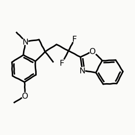 COc1ccc2c(c1)C(C)(CC(F)(F)c1nc3ccccc3o1)CN2C